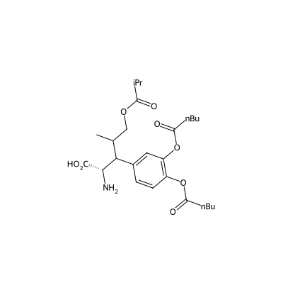 CCCCC(=O)Oc1ccc(C(C(C)COC(=O)C(C)C)[C@H](N)C(=O)O)cc1OC(=O)CCCC